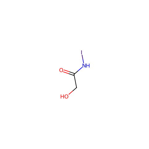 O=C(CO)NI